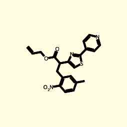 C=CCOC(=O)C(Cc1cc(C)ccc1[N+](=O)[O-])c1csc(-c2ccncc2)n1